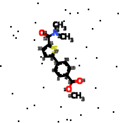 COC(=O)c1ccc(-c2ccc(C(=O)N(C)C)s2)cc1